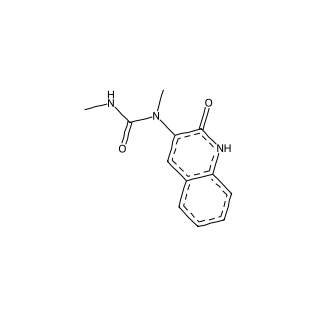 CNC(=O)N(C)c1cc2ccccc2[nH]c1=O